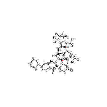 CS(=O)(=O)Nc1nn(CC(F)(F)F)c2c(-n3c([C@H](Cc4cc(F)cc(F)c4)NC(=O)Cn4nc(C(F)F)c5c4C(F)(F)[C@@H]4C[C@H]54)nc4cc(-c5cccnn5)ccc4c3=O)ccc(Cl)c12